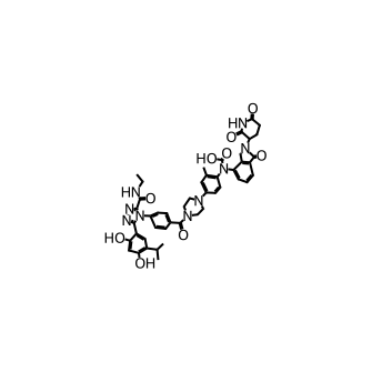 CCNC(=O)c1nnc(-c2cc(C(C)C)c(O)cc2O)n1-c1ccc(C(=O)N2CCN(c3ccc(N(C(=O)O)c4cccc5c4CN(C4CCC(=O)NC4=O)C5=O)c(C)c3)CC2)cc1